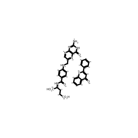 Nc1nc2ncc(CNc3ccc(C(=O)NC(CCC(=O)O)C(=O)O)cc3)nc2c(=O)[nH]1.O=c1cc(-c2ccccc2)oc2ccccc12